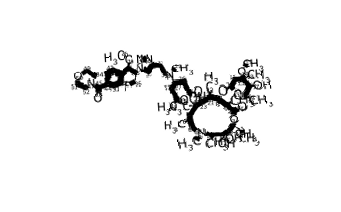 CC[C@H]1OC(=O)[C@H](C)[C@@H](O[C@H]2C[C@@](C)(OC)[C@@H](O)[C@H](C)O2)[C@H](C)[C@@H](O[C@H]2C[C@@H](N(C)CCc3cn([C@H](CF)[C@H](OC)c4ccc(C(=O)N5CCOCC5)cc4)nn3)C[C@@H](C)O2)[C@](C)(O)C[C@@H](C)CN(C)[C@H](C)[C@@H](O)[C@]1(C)O